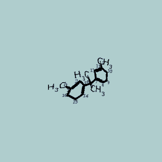 CC1=CC(C(C)(C)C2=CCCC(C)=C2)=CCC1